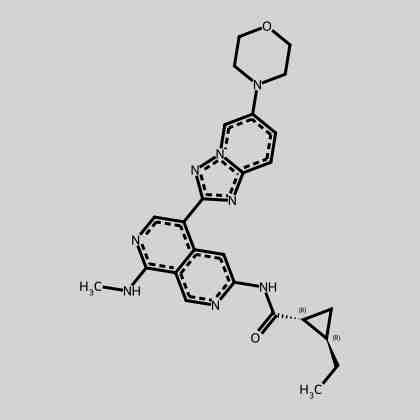 CC[C@@H]1C[C@H]1C(=O)Nc1cc2c(-c3nc4ccc(N5CCOCC5)cn4n3)cnc(NC)c2cn1